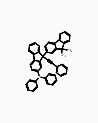 CC1(C)c2ccccc2-c2ccc(C3(C#Cc4ccccc4)c4ccccc4-c4ccc(N(c5ccccc5)c5ccccc5)cc43)cc21